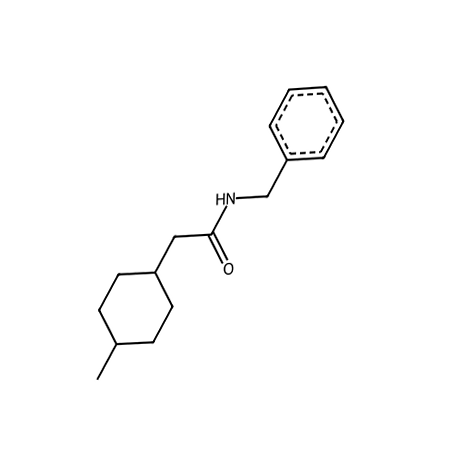 CC1CCC(CC(=O)NCc2ccccc2)CC1